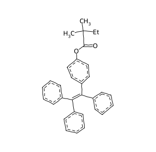 CCC(C)(C)C(=O)Oc1ccc(C(=C(c2ccccc2)c2ccccc2)c2ccccc2)cc1